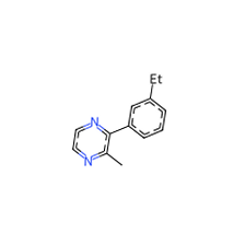 CCc1cccc(-c2nccnc2C)c1